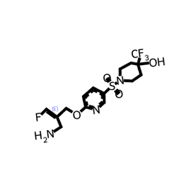 NC/C(=C\F)COc1ccc(S(=O)(=O)N2CCC(O)(C(F)(F)F)CC2)cn1